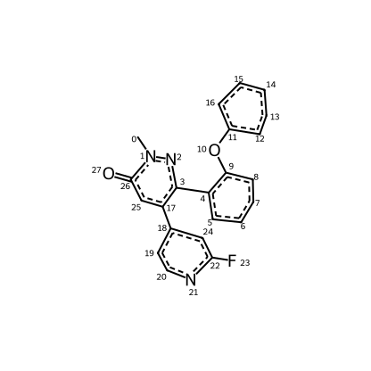 Cn1nc(-c2ccccc2Oc2ccccc2)c(-c2ccnc(F)c2)cc1=O